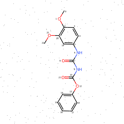 COc1ccc(NC(=O)NC(=O)Oc2ccccc2)cc1OC